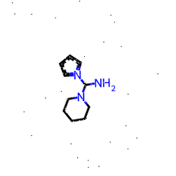 NC(N1CCCCC1)n1cccc1